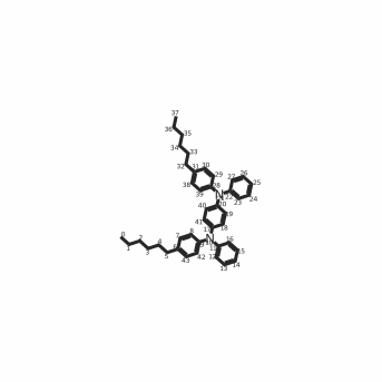 CCCCCCc1ccc(N(c2ccccc2)c2ccc(N(c3ccccc3)c3ccc(CCCCCC)cc3)cc2)cc1